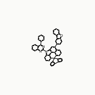 c1ccc(-c2nc(-n3c4cccc5c4c4c6c(cccc6c(-c6ccc7oc8ccccc8c7c6)cc43)C53c4ccccc4-c4ccccc43)nc3ccccc23)cc1